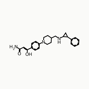 NC(=O)C=C(O)c1ccc(N2CCC(CNC3CC3c3ccccc3)CC2)cc1